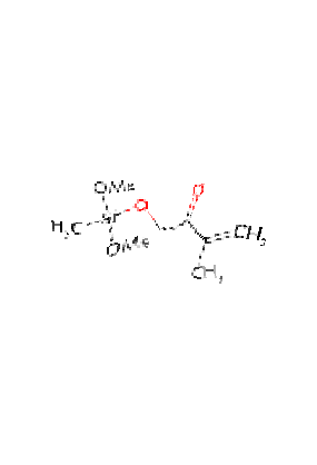 C=C(C)C(=O)CO[Si](C)(OC)OC